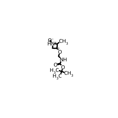 CC1[C@@H](OCNC(=O)OC(C)(C)C)C[NH+]1[O-]